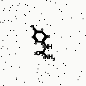 NC(=O)Nc1[c]cc(I)cc1